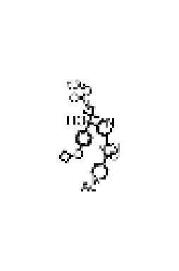 CC(=O)N1CCC(c2nc(-c3cncc([C@@](O)(c4ccc(OC5CCC5)cc4)C4(C)CN(C(=O)OC(C)(C)C)C4)c3)no2)CC1